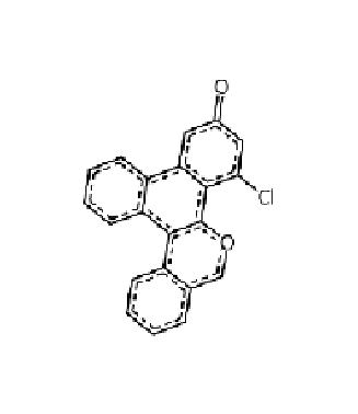 O=c1cc(Cl)c2c(c1)c1ccccc1c1c3ccccc3coc21